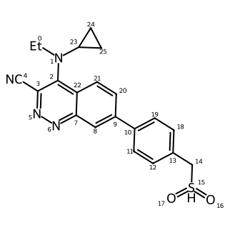 CCN(c1c(C#N)nnc2cc(-c3ccc(C[SH](=O)=O)cc3)ccc12)C1CC1